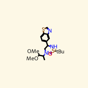 COC(OC)C(C)NCC(N[S+]([O-])C(C)(C)C)c1ccc2scnc2c1